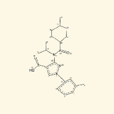 Cc1cccc(-n2cc(C(=O)O)c(N(C(=O)C3CCC(C)CC3)C(C)C)n2)c1